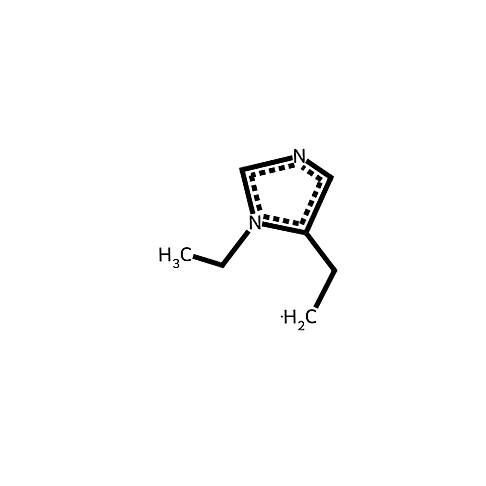 [CH2]Cc1cncn1CC